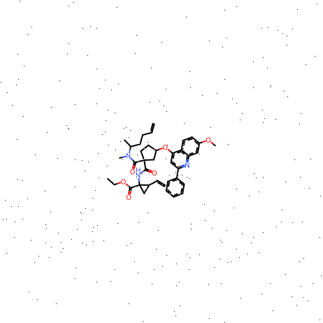 C=CCCC(C)N(C)C(=O)C1(C(=O)NC2(C(=O)OCC)CC2C=C)CCC(Oc2cc(-c3ccccc3)nc3cc(OC)ccc23)C1